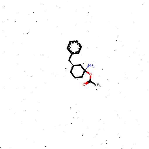 N[C@]1(OC(=O)C(F)(F)F)CCC[C@@H](Cc2ccccc2)C1